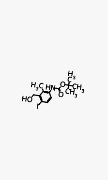 Cc1c(NC(=O)OC(C)(C)C)ccc(I)c1CO